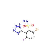 NS(=O)(=O)c1c(Br)ccc(I)c1-c1nnn[nH]1